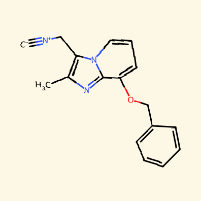 [C-]#[N+]Cc1c(C)nc2c(OCc3ccccc3)cccn12